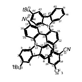 CC(C)(C)c1ccc2c(c1)c1ccccc1n2-c1ccc(C#N)cc1-c1cc(-c2ccc(C(F)(F)F)cc2C#N)ccc1-n1c2ccccc2c2cc(C(C)(C)C)ccc21